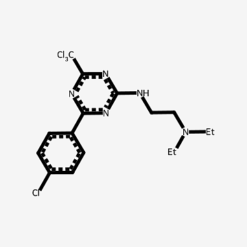 CCN(CC)CCNc1nc(-c2ccc(Cl)cc2)nc(C(Cl)(Cl)Cl)n1